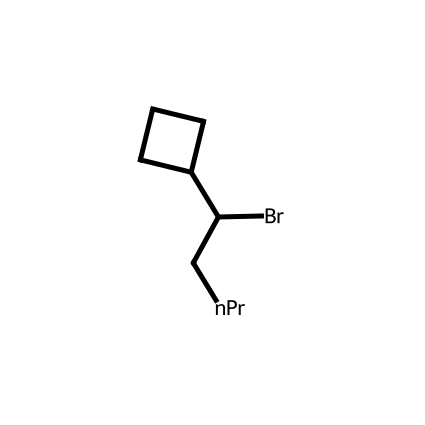 [CH2]CCCC(Br)C1CCC1